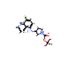 CC(C)(C)OC(=O)N1CCC(Nc2ccc(F)c3ncccc23)C1